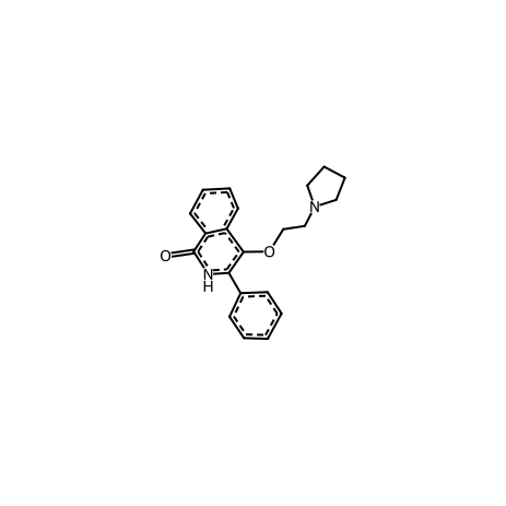 O=c1[nH]c(-c2ccccc2)c(OCCN2CCCC2)c2ccccc12